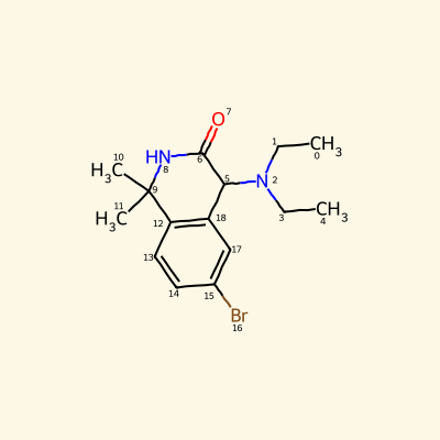 CCN(CC)C1C(=O)NC(C)(C)c2ccc(Br)cc21